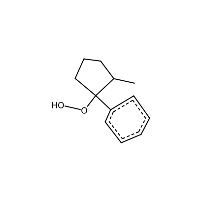 CC1CCCC1(OO)c1ccccc1